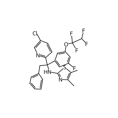 Cc1nc(NC(Cc2ccccc2)(c2cc(F)cc(OC(F)(F)C(F)F)c2)c2ccc(Cl)cn2)sc1C